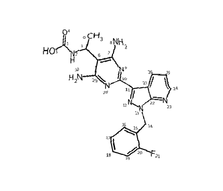 CC(NC(=O)O)c1c(N)nc(-c2nn(Cc3ccccc3F)c3ncccc23)nc1N